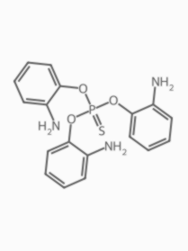 Nc1ccccc1OP(=S)(Oc1ccccc1N)Oc1ccccc1N